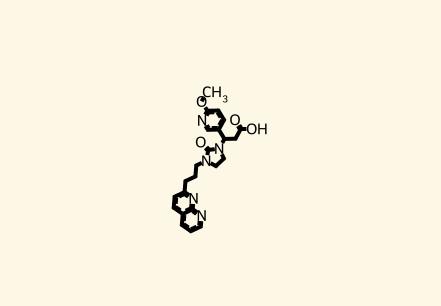 COc1ccc(C(CC(=O)O)N2CCN(CCCc3ccc4cccnc4n3)C2=O)cn1